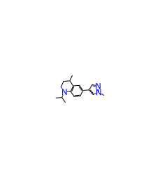 CC1CCN(C(C)C)c2ccc(-c3cnn(C)c3)cc21